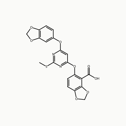 CSc1nc(Oc2ccc3c(c2)OCO3)cc(Oc2ccc3c(c2C(=O)O)OCO3)n1